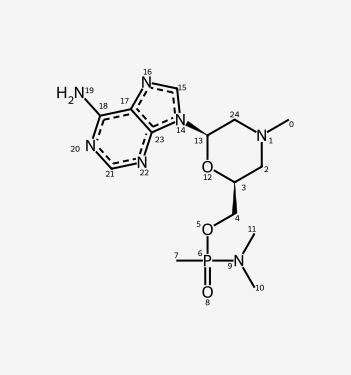 CN1C[C@@H](COP(C)(=O)N(C)C)O[C@@H](n2cnc3c(N)ncnc32)C1